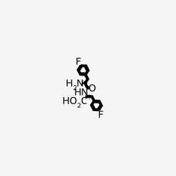 N[C@@H](Cc1ccc(F)cc1)C(=O)N[C@@H](Cc1ccc(F)cc1)C(=O)O